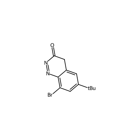 CC(C)(C)c1cc(Br)c2c(c1)CC(=O)N=N2